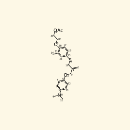 C=C(COc1ccc(N(C)C)cc1)CSc1ccc(OCCOC(C)=O)c(C)c1